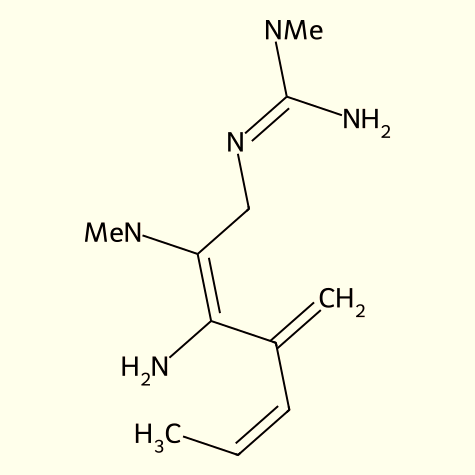 C=C(/C=C\C)/C(N)=C(\C/N=C(\N)NC)NC